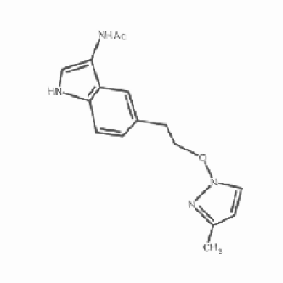 CC(=O)Nc1c[nH]c2ccc(CCOn3ccc(C)n3)cc12